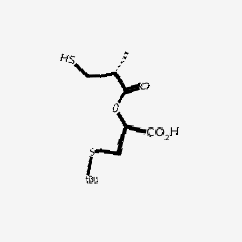 C[C@@H](CS)C(=O)OC(CSC(C)(C)C)C(=O)O